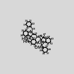 COc1cc(NO)cc2c1OC1(CC2/C=C2/N(Cc3ccccc3)c3ccccc3C2(C)C)N(Cc2ccccc2)c2ccccc2C1(C)C